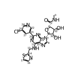 CNC(=O)[C@H]1O[C@@H](n2cnc3c(NCc4nccs4)nc(-c4cncc(Cl)c4)nc32)[C@H](O)[C@@H]1O